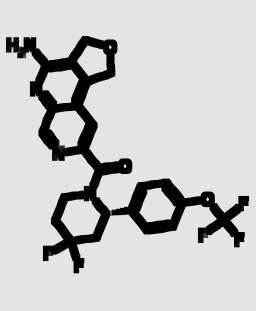 Nc1nc2cnc(C(=O)N3CCC(F)(F)C[C@H]3c3ccc(OC(F)(F)F)cc3)cc2c2c1COC2